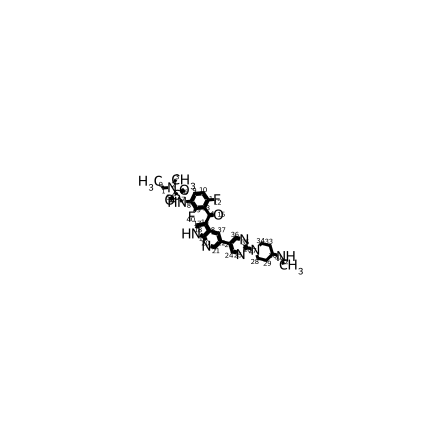 CCN(C)S(=O)(=O)Nc1ccc(F)c(C(=O)c2c[nH]c3ncc(-c4cnc(N5CCC(NC)CC5)nc4)cc23)c1F